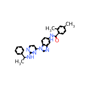 Cc1ccc(C(=O)Nc2ccc3c(c2)ncn3-c2ccnc(NC(C)c3ccccc3)n2)c(C)c1